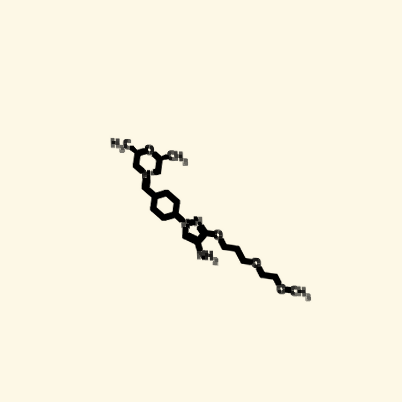 COCCOCCCOc1nn(C2CCC(/C=[N+]3/C[C@@H](C)O[C@@H](C)C3)CC2)cc1N